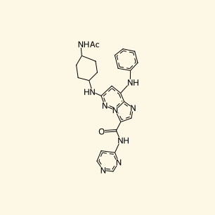 CC(=O)NC1CCC(Nc2cc(Nc3ccccc3)c3ncc(C(=O)Nc4ccncn4)n3n2)CC1